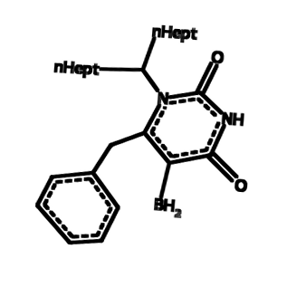 Bc1c(Cc2ccccc2)n(C(CCCCCCC)CCCCCCC)c(=O)[nH]c1=O